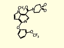 Cn1ccc2c(Oc3cccc(OC(F)(F)F)c3)ncc(C(=O)N3CCS(=O)(=O)CC3)c21